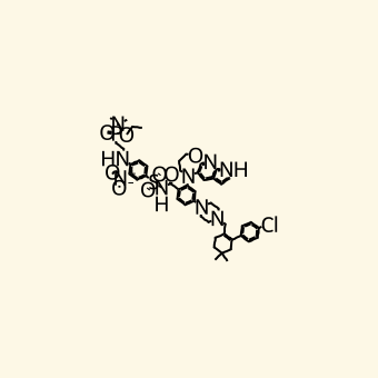 CCOP(=O)(CCNc1ccc(S(=O)(=O)NC(=O)c2ccc(N3CCN(CC4=C(c5ccc(Cl)cc5)CC(C)(C)CC4)CC3)cc2N2CCCOc3nc4[nH]ccc4cc32)cc1[N+](=O)[O-])N(C)C